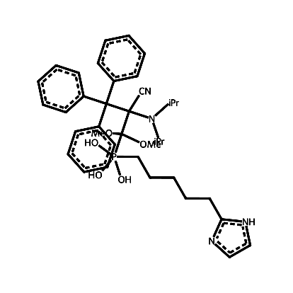 COC(OC)(C(C#N)(N(C(C)C)C(C)C)C(c1ccccc1)(c1ccccc1)c1ccccc1)P(O)(O)(O)CCCCCc1ncc[nH]1